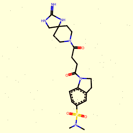 CN(C)S(=O)(=O)c1ccc2c(c1)CCN2C(=O)CCC(=O)N1CCC2(CC1)CNC(=N)N2